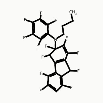 CCCCN(c1c(F)c(F)c(F)c(F)c1F)C1(F)C(F)=C(F)C2=C(c3c(F)c(F)[c]c(F)c3C2F)C1F